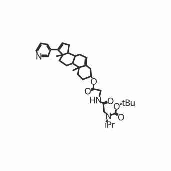 CC(C)N(CC(=O)NCC(=O)OC1CCC2(C)C(=CCC3C2CCC2(C)C(c4cccnc4)=CCC32)C1)C(=O)OC(C)(C)C